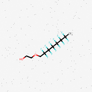 OCCOCC(F)(F)C(F)(F)C(F)(F)C(F)(F)C(F)(F)C(F)(F)C(F)(F)F